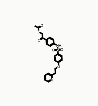 CC(=O)SCC(=O)c1ccc(NS(=O)(=O)c2ccc(OCCc3ccccn3)cc2)cc1